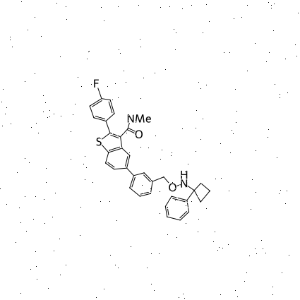 CNC(=O)c1c(-c2ccc(F)cc2)sc2ccc(-c3cccc(CONC4(c5ccccc5)CCC4)c3)cc12